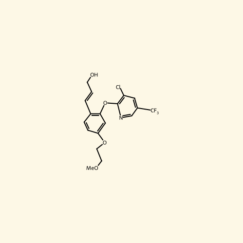 COCCOc1ccc(C=CCO)c(Oc2ncc(C(F)(F)F)cc2Cl)c1